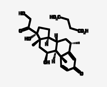 C[C@H]1C[C@@H]2[C@H]([C@@H](O)C[C@@]3(C)[C@H]2CC[C@]3(O)C(=O)CO)[C@@]2(C)C=CC(=O)C=C12.O=C(O)CCC(=O)O